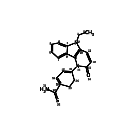 CCn1c2ccccc2c2c1ccc(=O)n2C1=CC=C(C(N)=S)CC1